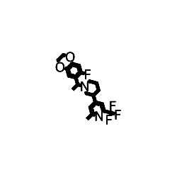 Cc1cc(C2CCCN(C(C)c3cc4c(cc3F)OCCO4)C2)cc(C(F)(F)F)n1